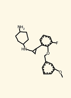 COc1cccc(COc2c(F)cccc2C2CC2NC2CCC(N)CC2)c1